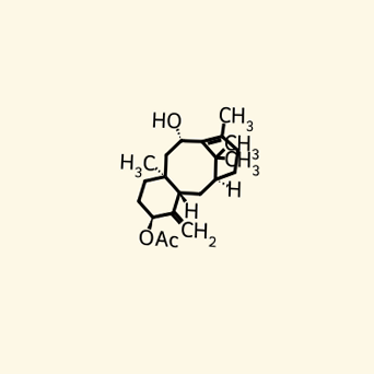 C=C1[C@@H](OC(C)=O)CC[C@@]2(C)C[C@H](O)C3=C(C)CC[C@@H](C[C@H]12)C3(C)C